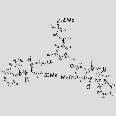 COc1cc2c(cc1OCc1cc(COc3cc4c(cc3OC)C(=O)N3c5ccccc5C[C@H]3CN4)cc(N(C)CC(C)(C)SSC)c1)N=C[C@@H]1Cc3ccccc3N1C2=O